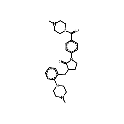 CN1CCN(C(=O)c2ccc(N3CCC(Cc4ccccc4N4CCN(C)CC4)C3=O)cc2)CC1